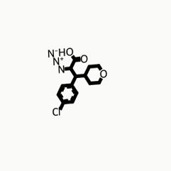 [N-]=[N+]=NC(C(=O)O)C(c1ccc(Cl)cc1)C1CCOCC1